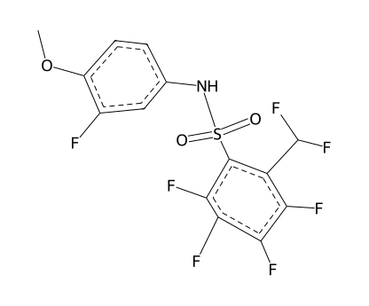 COc1ccc(NS(=O)(=O)c2c(F)c(F)c(F)c(F)c2C(F)F)cc1F